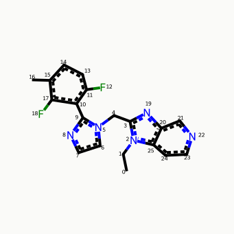 CCn1c(Cn2ccnc2-c2c(F)ccc(C)c2F)nc2cnccc21